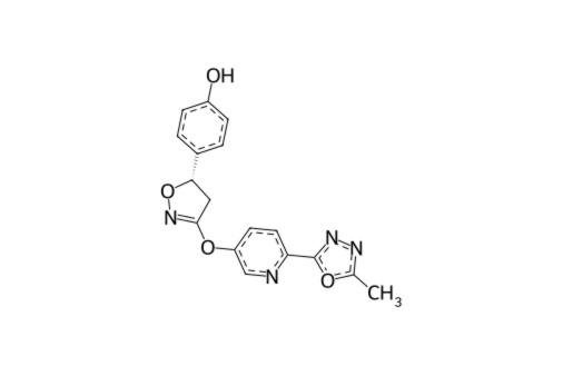 Cc1nnc(-c2ccc(OC3=NO[C@H](c4ccc(O)cc4)C3)cn2)o1